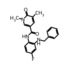 Cc1cc(C(=O)Nc2ccc(F)cc2NCc2ccccc2)cn(C)c1=O